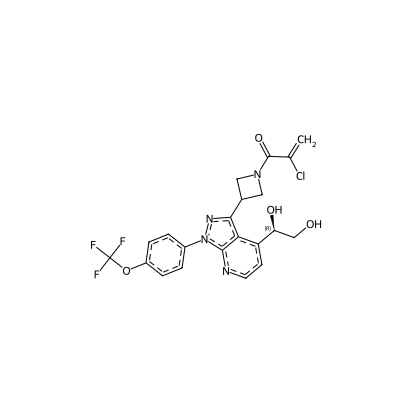 C=C(Cl)C(=O)N1CC(c2nn(-c3ccc(OC(F)(F)F)cc3)c3nccc([C@@H](O)CO)c23)C1